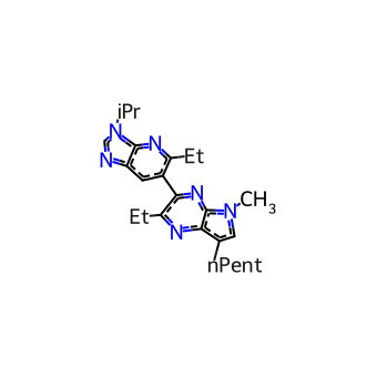 CCCCCc1cn(C)c2nc(-c3cc4ncn(C(C)C)c4nc3CC)c(CC)nc12